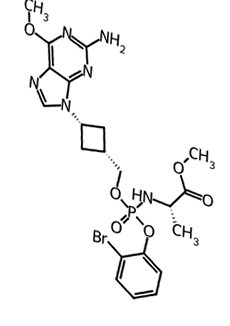 COC(=O)[C@H](C)NP(=O)(OC[C@H]1C[C@@H](n2cnc3c(OC)nc(N)nc32)C1)Oc1ccccc1Br